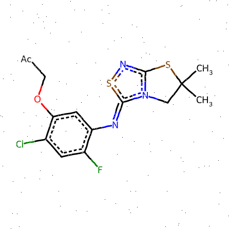 CC(=O)COc1cc(N=c2snc3n2CC(C)(C)S3)c(F)cc1Cl